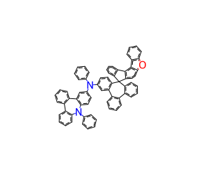 c1ccc(N(c2ccc3c(c2)-c2ccccc2-c2ccccc2N3c2ccccc2)c2ccc3c(c2)-c2ccccc2-c2ccccc2C32c3ccccc3-c3c2ccc2oc4ccccc4c32)cc1